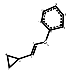 C(=CC1CC1)Sc1ccccc1